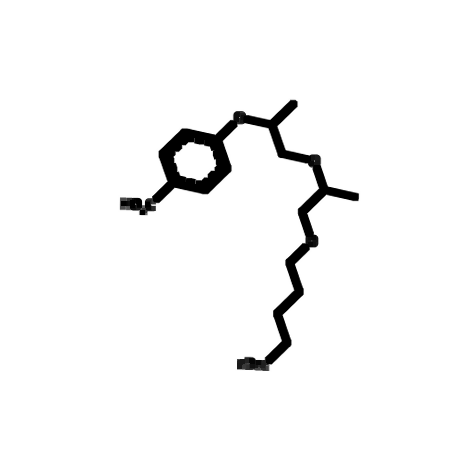 CCCCCCCCCCCCCCOCC(C)OCC(C)Oc1ccc(C(=O)O)cc1